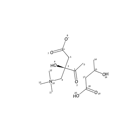 CC(=O)[C@@](O)(CC(=O)[O-])C[N+](C)(C)C.CC(O)CC(=O)O